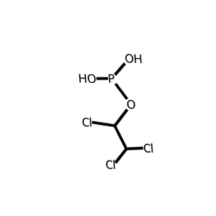 OP(O)OC(Cl)C(Cl)Cl